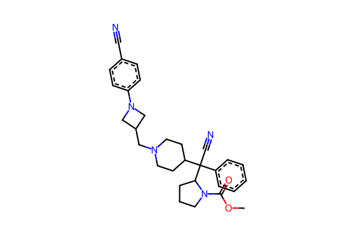 COC(=O)N1CCCC1C(C#N)(c1ccccc1)C1CCN(CC2CN(c3ccc(C#N)cc3)C2)CC1